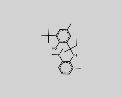 CCC(C)(Pc1c(C)cccc1P(C)C)c1cc(C)cc(C(C)(C)C)c1O